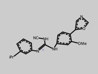 COc1cc(N/C(=N/c2cccc(C(C)C)c2)NC#N)ccc1-c1cnco1